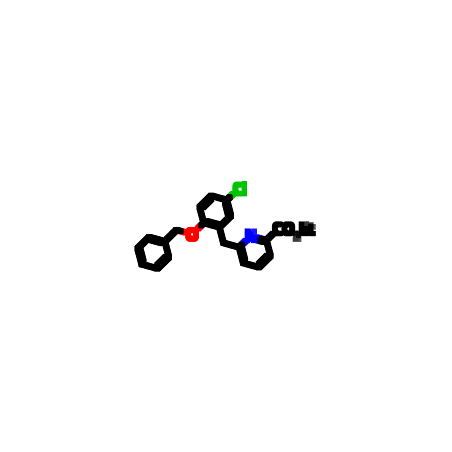 CCOC(=O)c1cccc(Cc2cc(Cl)ccc2OCc2ccccc2)n1